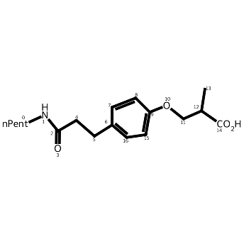 CCCCCNC(=O)CCc1ccc(OCC(C)C(=O)O)cc1